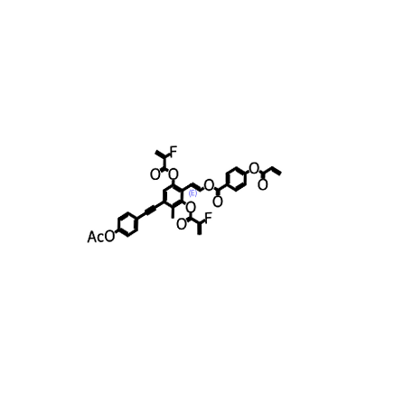 C=CC(=O)Oc1ccc(C(=O)O/C=C/c2c(OC(=O)C(=C)F)cc(C#Cc3ccc(OC(C)=O)cc3)c(C)c2OC(=O)C(=C)F)cc1